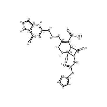 O=C(Cc1cccs1)NC1C(=O)N2C(C(=O)O)=C(C=CSc3cc(=O)c4sccc4s3)CS[C@@H]12